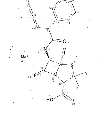 CC1(C)S[C@@H]2[C@H](NC(=O)[C@H](N=[N+]=[N-])c3ccccc3)C(=O)N2[C@H]1C(=O)O.[Na+]